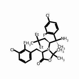 CCC(C)(CC)C[C@H](N1[C@H](Cc2cccc(Cl)c2F)C(=O)OC1(C)C)[C@](C)(N)c1ccc(Cl)cc1F